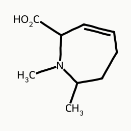 CC1CCC=CC(C(=O)O)N1C